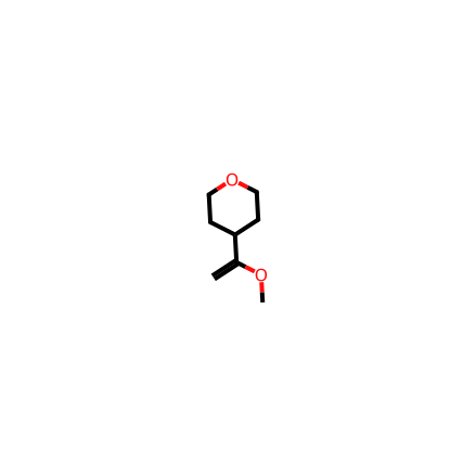 C=C(OC)C1CCOCC1